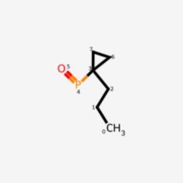 CCCC1(P=O)CC1